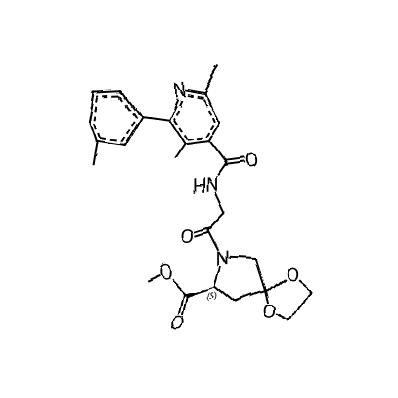 COC(=O)[C@@H]1CC2(CN1C(=O)CNC(=O)c1cc(C)nc(-c3cccc(C)c3)c1C)OCCO2